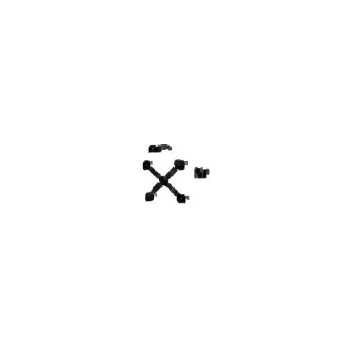 [Gd+3].[Na+].[O-][Si]([O-])([O-])[O-]